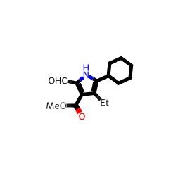 CCc1c(C2CCCCC2)[nH]c(C=O)c1C(=O)OC